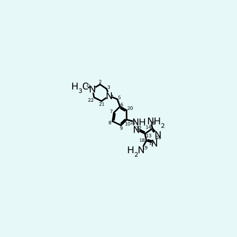 CN1CCN(Cc2cccc(NN=C3C(N)=NN=C3N)c2)CC1